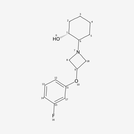 O[C@@H]1CCCCC1N1CC(Oc2cccc(F)c2)C1